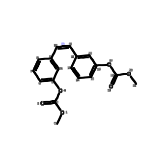 COC(=O)Oc1cccc(/C=C\c2cccc(OC(=O)OC)c2)c1